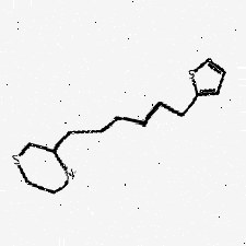 c1csc(CCCCCCC2CSCC[N]2)c1